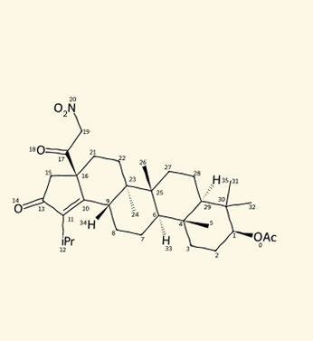 CC(=O)O[C@H]1CC[C@]2(C)[C@H]3CC[C@@H]4C5=C(C(C)C)C(=O)C[C@]5(C(=O)C[N+](=O)[O-])CC[C@@]4(C)[C@]3(C)CC[C@H]2C1(C)C